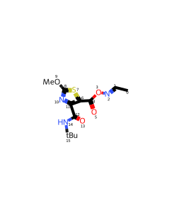 CC=NOC(=O)c1sc(OC)nc1C(=O)NC(C)(C)C